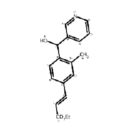 CCOC(=O)C=Cc1ccc(C(O)c2cccnc2)c(C)c1